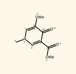 COC(=O)c1nn(C)cc(OC)c1=O